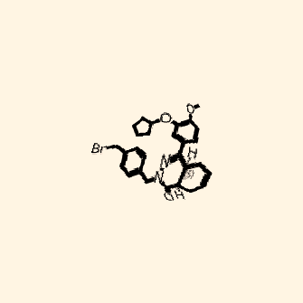 COc1ccc(C2=NN(Cc3ccc(CBr)cc3)C(=O)[C@@H]3CC=CC[C@H]23)cc1OC1CCCC1